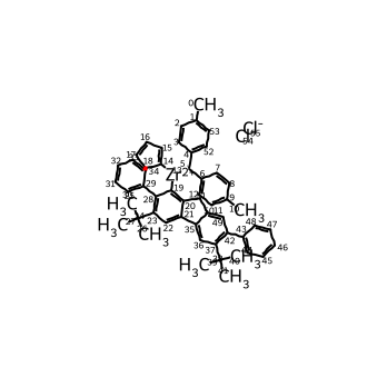 Cc1ccc([C](c2ccc(C)cc2)=[Zr+2]([C]2=CC=CC2)[c]2c3c(cc(C(C)(C)C)c2-c2ccccc2)-c2cc(C(C)(C)C)c(-c4ccccc4)cc2C3)cc1.[Cl-].[Cl-]